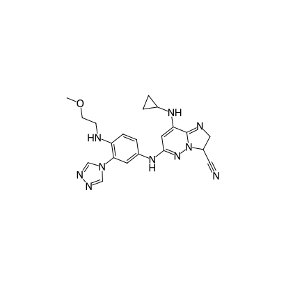 COCCNc1ccc(NC2=NN3C(=NCC3C#N)C(NC3CC3)=C2)cc1-n1cnnc1